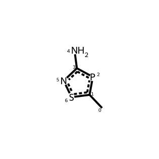 Cc1pc(N)ns1